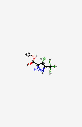 COC(=O)c1[nH]nc(C(F)(F)F)c1Br